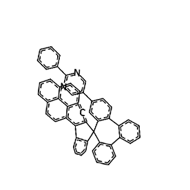 c1ccc(-c2ncc(-c3ccc4c(c3)C3(c5ccccc5-c5ccccc5-4)c4ccccc4-c4c3cc3ccc5cccc6ccc4c3c56)cn2)cc1